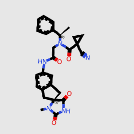 C[C@H](c1ccccc1)N(CC(=O)Nc1ccc2c(c1)C[C@@]1(C2)C(=O)NC(=O)N1C)C(=O)C1(C#N)CC1